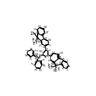 CCC1(CC)c2ccccc2-c2ccc(-c3cc(-c4ccc5c(c4)C(CC)(CC)c4ccccc4-5)cc(N(c4ccccc4)c4ccccc4)c3)cc21